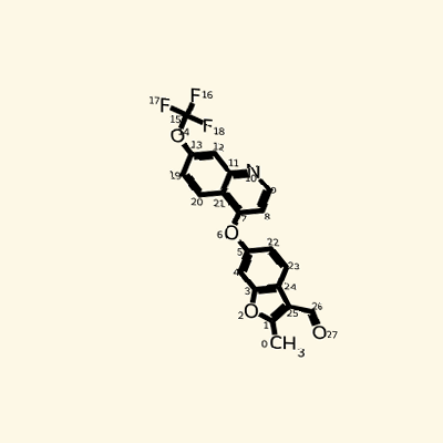 Cc1oc2cc(Oc3ccnc4cc(OC(F)(F)F)ccc34)ccc2c1C=O